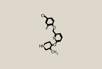 CC1CNCCC1Oc1cccc(COc2ccc(Cl)cc2F)n1